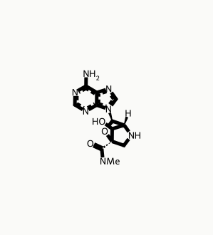 CNC(=O)[C@@]12CN[C@H](C1O)[C@H](n1cnc3c(N)ncnc31)O2